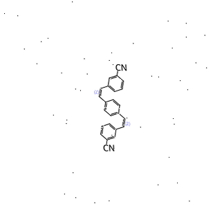 N#Cc1cccc(/C=C\c2ccc(/C=C\c3cccc(C#N)c3)cc2)c1